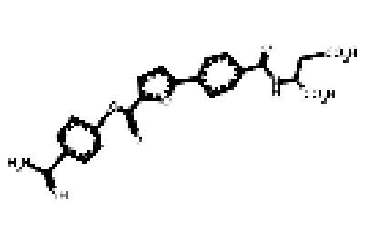 N=C(N)c1ccc(OC(=O)c2ccc(-c3ccc(C(=O)N[C@@H](CC(=O)O)C(=O)O)cc3)o2)cc1